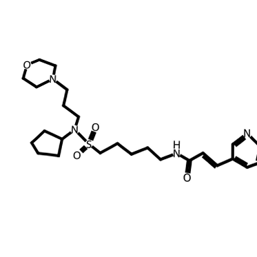 O=C(/C=C/c1cccnc1)NCCCCCS(=O)(=O)N(CCCN1CCOCC1)C1CCCC1